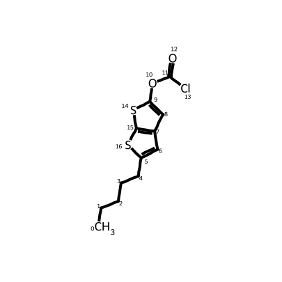 CCCCCc1cc2cc(OC(=O)Cl)sc2s1